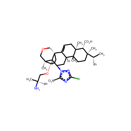 CC(C)[C@@H](C)[C@@]1(C)CC[C@]2(C)[C@H]3CC[C@@H]4[C@@]5(COC[C@]4(C)[C@@H](OC[C@](C)(N)C(C)C)[C@H](n4nc(Br)nc4[N+](=O)[O-])C5)C3=CC[C@@]2(C)[C@@H]1C(=O)O